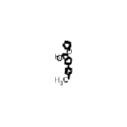 CCc1ccc(-c2ccc3c(c2)[SH]([O])C=C3Oc2ccccc2)cc1